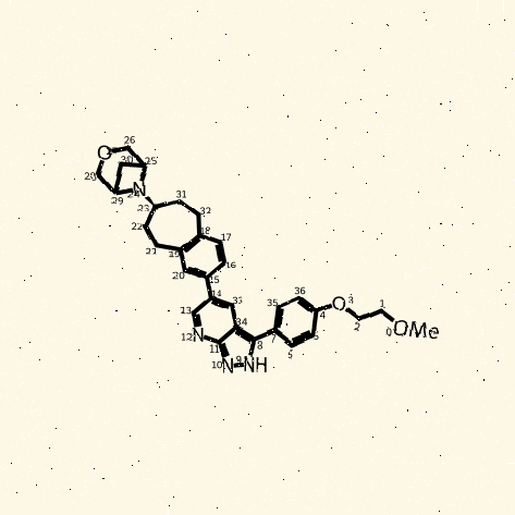 COCCOc1ccc(-c2[nH]nc3ncc(-c4ccc5c(c4)CC[C@@H](N4C6COCC4C6)CC5)cc23)cc1